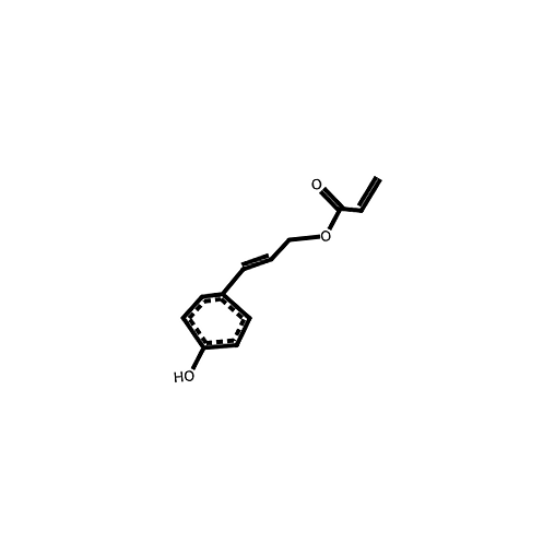 C=CC(=O)OCC=Cc1ccc(O)cc1